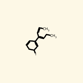 C/C=C\C(=C/CC)C1=CC(I)CC=C1